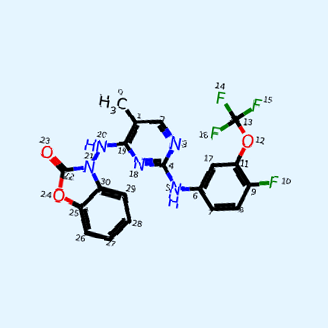 Cc1cnc(Nc2ccc(F)c(OC(F)(F)F)c2)nc1Nn1c(=O)oc2ccccc21